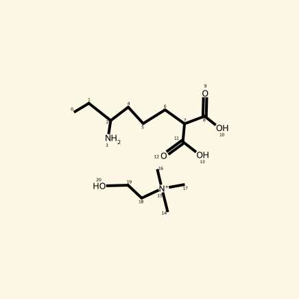 CCC(N)CCCC(C(=O)O)C(=O)O.C[N+](C)(C)CCO